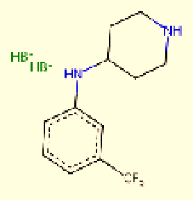 Br.Br.FC(F)(F)c1cccc(NC2CCNCC2)c1